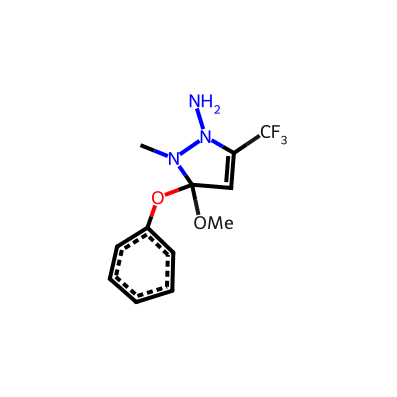 COC1(Oc2ccccc2)C=C(C(F)(F)F)N(N)N1C